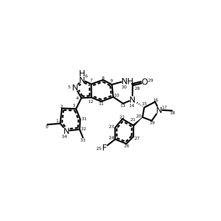 Cc1cc(-c2n[nH]c3cc4c(cc23)CN([C@@H]2CN(C)C[C@H]2c2ccc(F)cc2)C(=O)N4)cc(C)n1